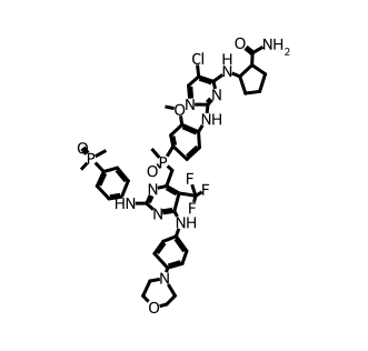 COc1cc(P(C)(=O)Cc2nc(Nc3ccc(P(C)(C)=O)cc3)nc(Nc3ccc(N4CCOCC4)cc3)c2C(F)(F)F)ccc1Nc1ncc(Cl)c(NC2CCCC2C(N)=O)n1